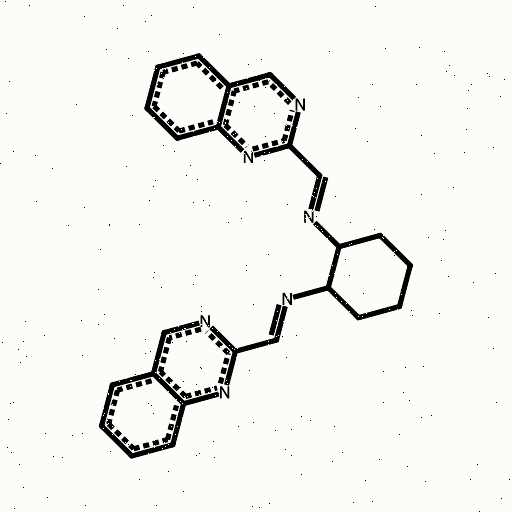 C(=NC1CCCCC1N=Cc1ncc2ccccc2n1)c1ncc2ccccc2n1